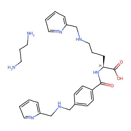 NCCCN.O=C(N[C@@H](CCCNCc1ccccn1)C(=O)O)c1ccc(CNCc2ccccn2)cc1